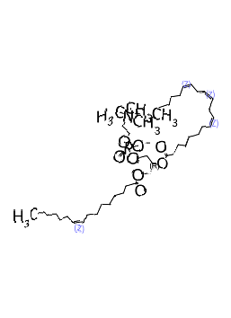 CCCCC/C=C\C/C=C\C/C=C\CCCCCCC(=O)O[C@H](COC(=O)CCCCCCC/C=C\CCCCCC)COP(=O)([O-])OCC[N+](C)(C)C